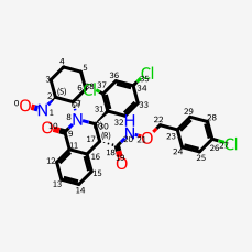 O=N[C@H]1CCCC[C@@H]1N1C(=O)c2ccccc2[C@@H](C(=O)NOCc2ccc(Cl)cc2)[C@@H]1c1ccc(Cl)cc1Cl